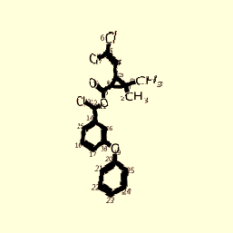 CC1(C)C(C=C(Cl)Cl)C1C(=O)OC(Cl)c1cccc(Oc2ccccc2)c1